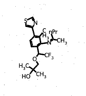 CCC/C(C)=N\c1c(C(OCC(C)(C)O)C(F)(F)F)ccc(-c2cscn2)c1C